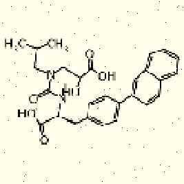 CC(C)CN(CC(O)C(=O)O)C(=O)N[C@@H](Cc1ccc(-c2ccc3ccccc3c2)cc1)C(=O)O